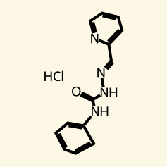 Cl.O=C(NN=Cc1ccccn1)Nc1ccccc1